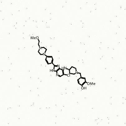 COCCN1CCN(c2ccc(-c3nc4c(NC5CCN(Cc6ccc(O)c(OC)c6)CC5)c(Cl)cnc4[nH]3)cc2)CC1